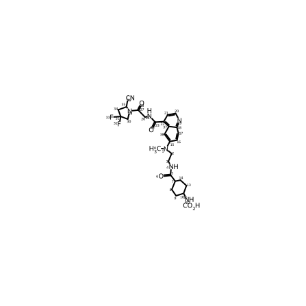 CN(CCNC(=O)C1CCC(NC(=O)O)CC1)c1ccc2nccc(C(=O)NCC(=O)N3CC(F)(F)CC3C#N)c2c1